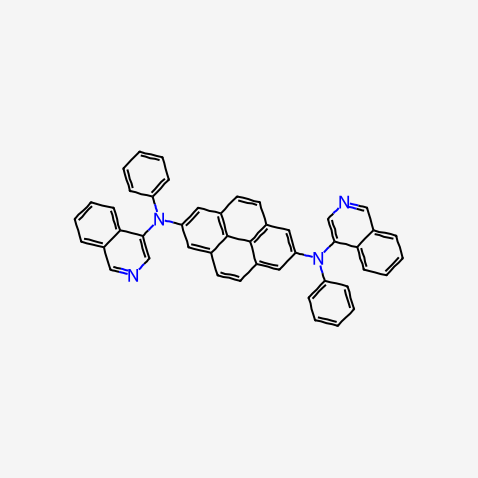 c1ccc(N(c2cc3ccc4cc(N(c5ccccc5)c5cncc6ccccc56)cc5ccc(c2)c3c45)c2cncc3ccccc23)cc1